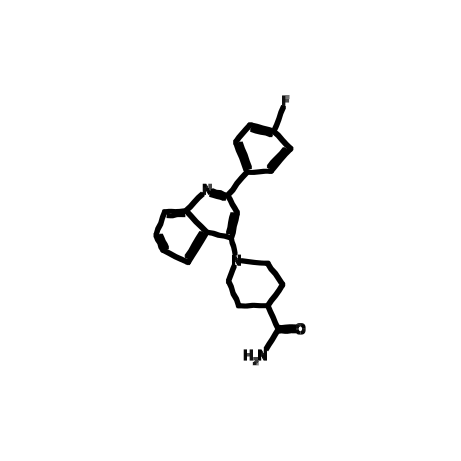 NC(=O)C1CCN(c2cc(-c3ccc(F)cc3)nc3ccccc23)CC1